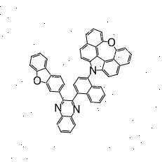 c1ccc2nc(-c3ccc(-n4c5ccc6cccc7oc8cccc9ccc4c(c98)c5c67)c4ccccc34)c(-c3ccc4c(c3)oc3ccccc34)nc2c1